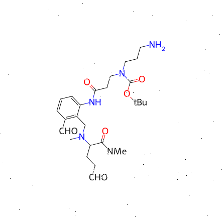 CNC(=O)C(CCC=O)N(C)Cc1c(C=O)cccc1NC(=O)CCN(CCCN)C(=O)OC(C)(C)C